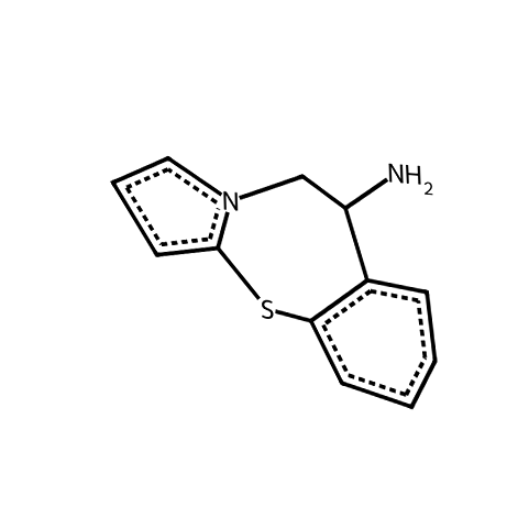 NC1Cn2cccc2Sc2ccccc21